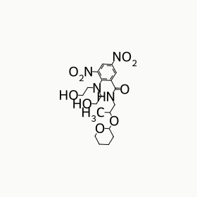 CC(CNC(=O)c1cc([N+](=O)[O-])cc([N+](=O)[O-])c1N(CCO)CCO)OC1CCCCO1